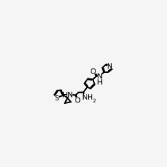 NC(CC(=O)NC1(c2cccs2)CC1)c1ccc(C(=O)Nc2ccncc2)cc1